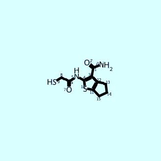 NC(=O)c1c(NC(=O)CS)sc2c1CCC2